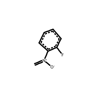 C=[N+]([O-])c1ccccc1F